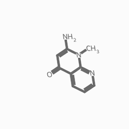 Cn1c(N)cc(=O)c2cccnc21